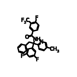 Cc1ccc(C(Cc2ccccc2)(NC(=O)c2ccc(F)c(C(F)(F)F)c2)c2cc(F)cc(F)c2)nc1